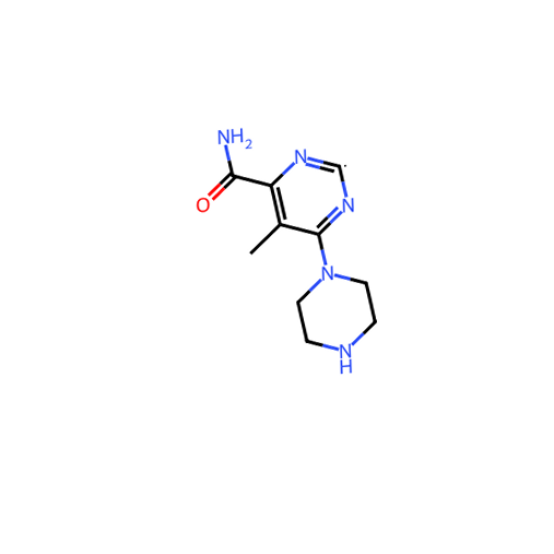 Cc1c(C(N)=O)n[c]nc1N1CCNCC1